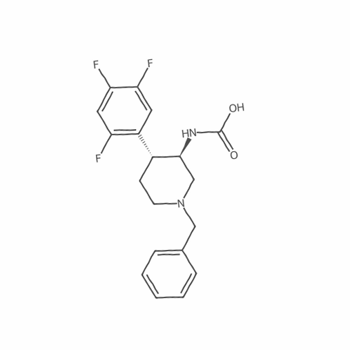 O=C(O)N[C@H]1CN(Cc2ccccc2)CC[C@@H]1c1cc(F)c(F)cc1F